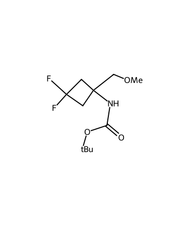 COCC1(NC(=O)OC(C)(C)C)CC(F)(F)C1